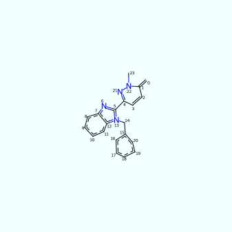 C=C1C=CC(c2nc3ccccc3n2Cc2ccccc2)=NN1C